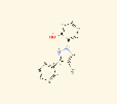 Oc1ccccc1-n1c[c]([Zn])c(-c2ccccc2)n1